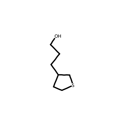 OCCCC1CCSC1